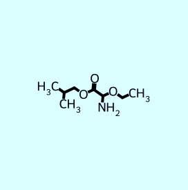 CCOC(N)C(=O)OCC(C)C